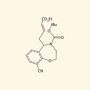 CCOC(=O)C=CCC1c2cccc(C#N)c2OCCN1C(=O)OC(C)(C)C